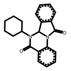 O=C1c2ccccc2C2N1c1ccccc1C(=O)N2C1CCCCC1